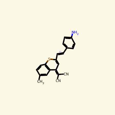 Cc1ccc2c(c1)C(=C(C#N)C#N)C=C(/C=C/c1ccc(N)cc1)S2